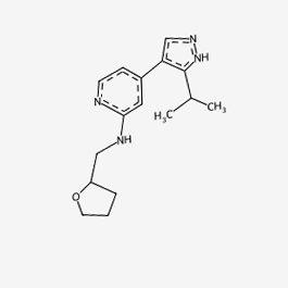 CC(C)c1[nH]ncc1-c1ccnc(NCC2CCCO2)c1